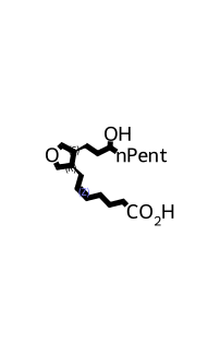 CCCCCC(O)CC[C@@H]1COC[C@@H]1C/C=C\CCCC(=O)O